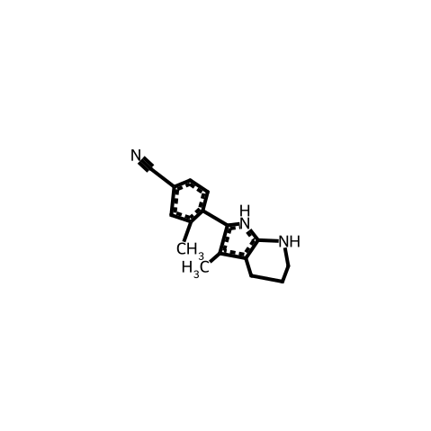 Cc1cc(C#N)ccc1-c1[nH]c2c(c1C)CCCN2